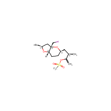 C=C(OS(=O)(=O)C(F)(F)F)[C@H](C)C[C@H]1CC[C@@H]2O[C@@H](CCCC)C[C@]2(CI)O1